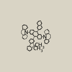 CC1(C)c2ccccc2-c2ccc(-c3c4ccc(N5C6=C(C=CCC6)CCc6ccccc65)cc4c(-c4ccc5ccccc5c4)c4ccc(N5C6=C(C=CCC6)CCc6ccccc65)cc34)cc21